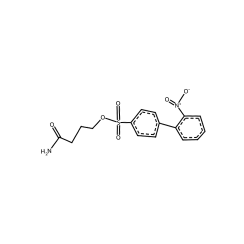 NC(=O)CCCOS(=O)(=O)c1ccc(-c2ccccc2[N+](=O)[O-])cc1